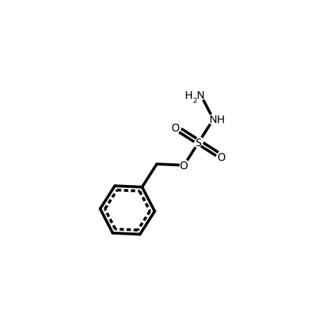 NNS(=O)(=O)OCc1ccccc1